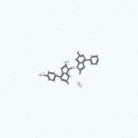 CC1=Cc2c(-c3ccccc3)cc(C)cc2[CH]1[Zr+2][CH]1C(C(C)C)=Cc2c(-c3ccc(C(C)(C)C)cc3)cc(C)cc21.[Cl-].[Cl-]